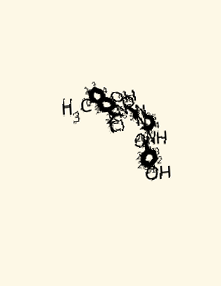 Cc1cccc2c(O)c3c(cc12)[C@H](CCl)CN3C(=O)c1cn2cc(NC(=O)c3ccc(O)cc3)ccc2n1